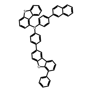 c1ccc(-c2cccc3c2oc2ccc(-c4ccc(N(c5ccc(-c6ccc7ccccc7c6)cc5)c5cccc6sc7ccccc7c56)cc4)cc23)cc1